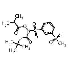 CC(C)C(=O)ON(C(=O)OC(C)(C)C)S(=O)(=O)c1cccc(S(C)(=O)=O)c1